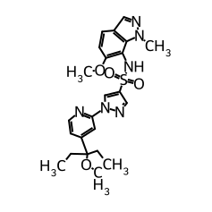 CCC(CC)(OC)c1ccnc(-n2cc(S(=O)(=O)Nc3c(OC)ccc4cnn(C)c34)cn2)c1